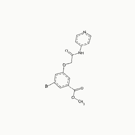 COC(=O)c1cc(Br)cc(OCC(=O)Nc2ccncc2)c1